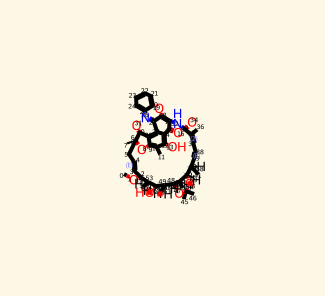 CO[C@H]1/C=C/C[C@@]2(C)Oc3c(C)c(O)c4c(=O)c(c5oc6ccccc6nc-5c4c3C2=O)NC(=O)/C(C)=C\C=C\[C@H](C)[C@@H]2OC(C)(C)O[C@@H]([C@@H](C)[C@H](O)[C@@H]1C)[C@@H]2C